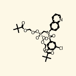 CC(C)(C)C(=O)OCOOP(=O)(CN(c1ccc2ncccc2c1)S(=O)(=O)c1cc(Cl)cc(Cl)c1)OOCOC(=O)C(C)(C)C